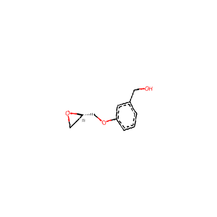 OCc1cccc(OC[C@@H]2CO2)c1